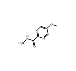 COc1cnc(C(=O)NN)nc1